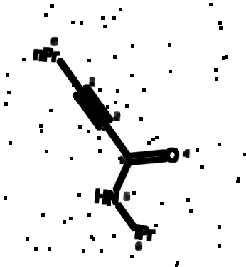 CCCC#CC(=O)NC(C)C